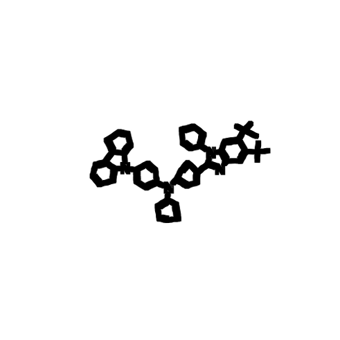 CC(C)(C)c1cc2nc(-c3ccc(N(c4ccccc4)c4ccc(-n5c6ccccc6c6ccccc65)cc4)cc3)n(-c3ccccc3)c2cc1C(C)(C)C